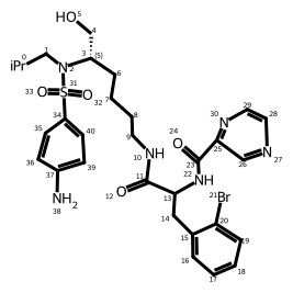 CC(C)CN([C@H](CO)CCCCNC(=O)C(Cc1ccccc1Br)NC(=O)c1cnccn1)S(=O)(=O)c1ccc(N)cc1